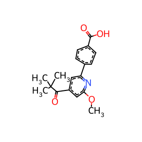 COc1cc(C(=O)C(C)(C)C)cc(-c2ccc(C(=O)O)cc2)n1